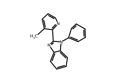 Cc1cccnc1-c1nc2ccccc2n1-c1ccccc1